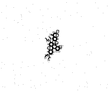 CCN(CC)c1ccc2c(-c3ccccc3C(=O)Oc3ccc4c(C)cc(=O)oc4c3)c3ccc(=[N+](CC)CC)cc-3oc2c1.[Cl-]